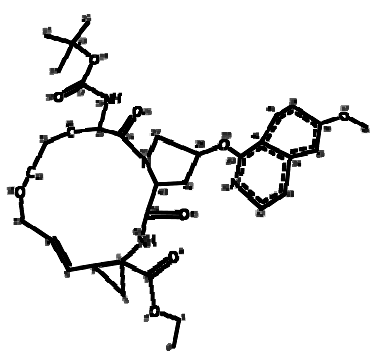 CCOC(=O)C12CC1/C=C/COCCCC(NC(=O)OC(C)(C)C)C(=O)N1CC(Oc3nccc4cc(OC)ccc34)CC1C(=O)N2